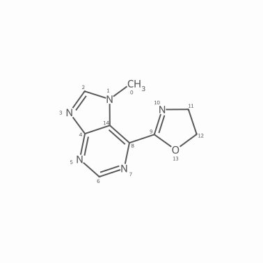 Cn1cnc2ncnc(C3=NCCO3)c21